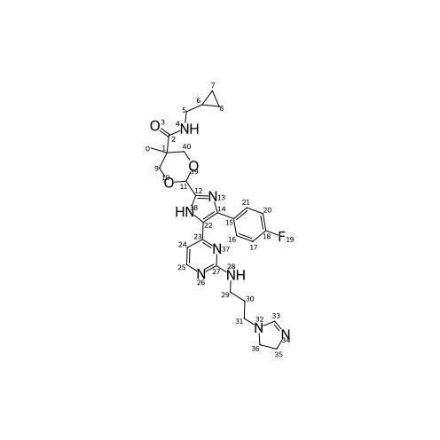 CC1(C(=O)NCC2CC2)COC(c2nc(-c3ccc(F)cc3)c(-c3ccnc(NCCCN4C=NCC4)n3)[nH]2)OC1